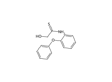 NC(=S)CO.c1ccc(Oc2ccccc2)cc1